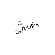 NS(=O)(=O)c1ccc(-n2nc(CN3CCCCC3)nc2Cc2ccccc2)cc1